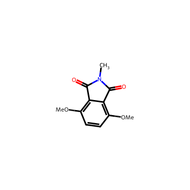 COc1ccc(OC)c2c1C(=O)N(C)C2=O